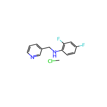 CCl.Fc1ccc(NCc2cccnc2)c(F)c1